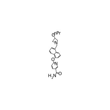 CCCOC1CN(Cc2cccc3c(Oc4ccc(C(N)=O)cn4)cccc23)C1